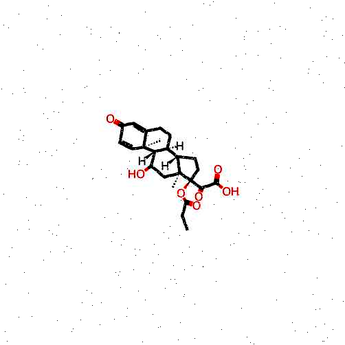 CCC(=O)O[C@]1(C(=O)C(=O)O)CC[C@H]2[C@@H]3CCC4=CC(=O)C=C[C@]4(C)[C@H]3C(O)C[C@@]21C